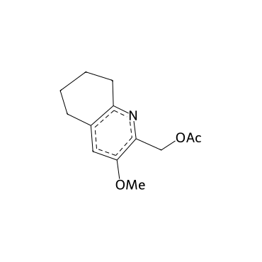 COc1cc2c(nc1COC(C)=O)CCCC2